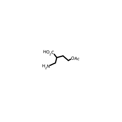 CC(=O)OCCC(CN)C(=O)O